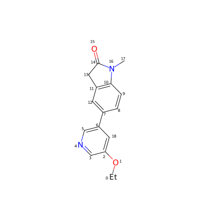 CCOc1cncc(-c2ccc3c(c2)CC(=O)N3C)c1